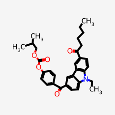 CCCCCC(=O)c1ccc2c(c1)c1cc(C(=O)c3ccc(OC(=O)OCC(C)C)cc3)ccc1n2CC